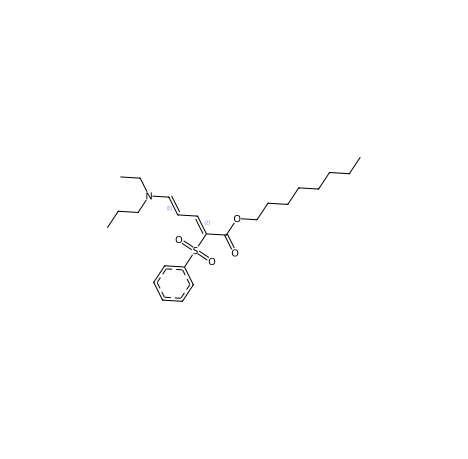 CCCCCCCCOC(=O)/C(=C/C=C/N(CC)CCC)S(=O)(=O)c1ccccc1